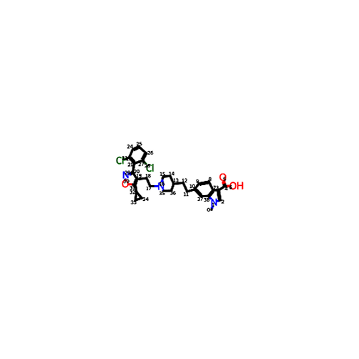 Cn1cc(C(=O)O)c2ccc(CCC3CCN(CCc4c(-c5c(Cl)cccc5Cl)noc4C4CC4)CC3)cc21